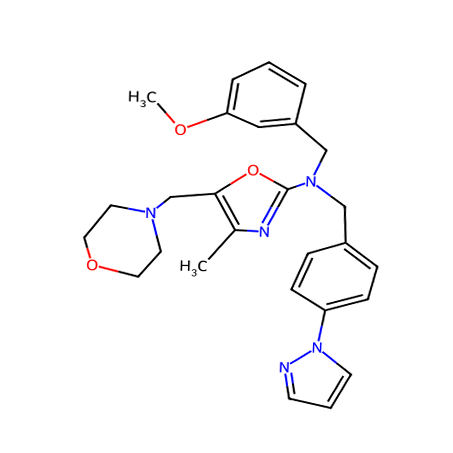 COc1cccc(CN(Cc2ccc(-n3cccn3)cc2)c2nc(C)c(CN3CCOCC3)o2)c1